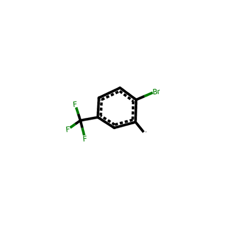 [CH2]c1cc(C(F)(F)F)ccc1Br